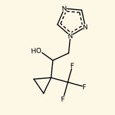 OC(Cn1cncn1)C1(C(F)(F)F)CC1